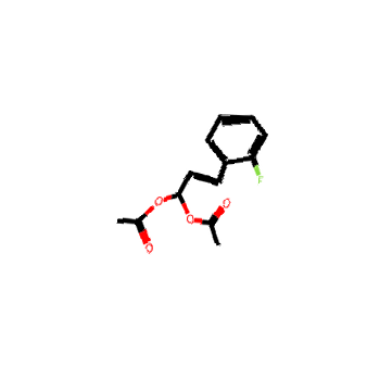 CC(=O)OC(C=Cc1ccccc1F)OC(C)=O